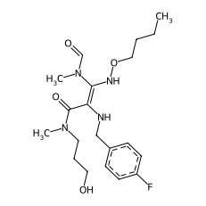 CCCCON/C(=C(\NCc1ccc(F)cc1)C(=O)N(C)CCCO)N(C)C=O